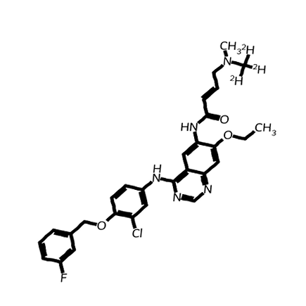 [2H]C([2H])([2H])N(C)C/C=C/C(=O)Nc1cc2c(Nc3ccc(OCc4cccc(F)c4)c(Cl)c3)ncnc2cc1OCC